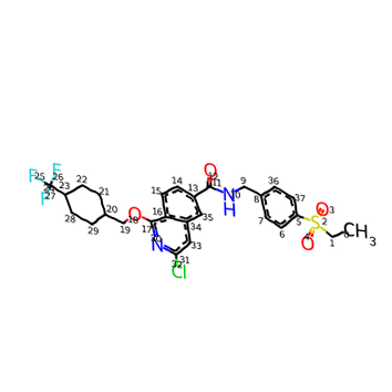 CCS(=O)(=O)c1ccc(CNC(=O)c2ccc3c(OCC4CCC(C(F)(F)F)CC4)nc(Cl)cc3c2)cc1